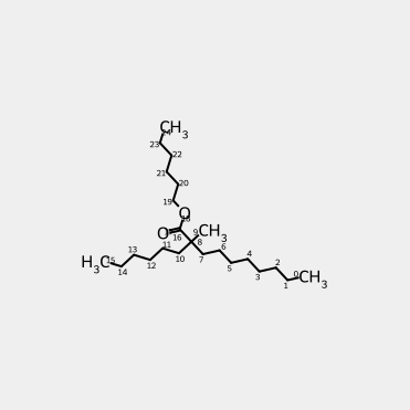 CCCCCCCCC(C)(CCCCCC)C(=O)OCCCCCC